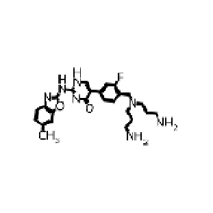 Cc1ccc2nc(Nc3nc(=O)c(-c4ccc(CN(CCCN)CCCN)c(F)c4)c[nH]3)oc2c1